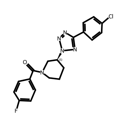 O=C(c1ccc(F)cc1)N1CCC[C@H](n2nnc(-c3ccc(Cl)cc3)n2)C1